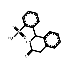 CS(=O)(=O)c1ccccc1C1NC(=O)Cc2ccccc21